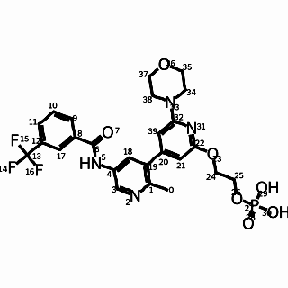 Cc1ncc(NC(=O)c2cccc(C(F)(F)F)c2)cc1-c1cc(OCCOP(=O)(O)O)nc(N2CCOCC2)c1